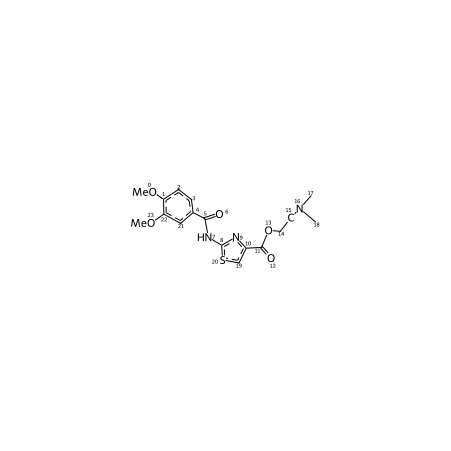 COc1ccc(C(=O)Nc2nc(C(=O)OCCN(C)C)cs2)cc1OC